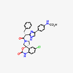 O=C(O)Nc1ccc(-c2c[nH]c([C@@H](Cc3ccccc3)C(=O)N3CC[C@@]4(C3)OC(=O)Nc3ccc(Cl)cc34)n2)cc1